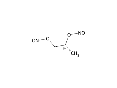 C[C@H](CON=O)ON=O